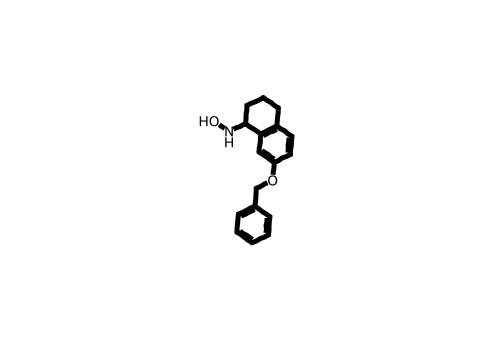 ONC1CCCc2ccc(OCc3ccccc3)cc21